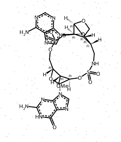 CO[C@H]1[C@H]2OS(=O)(=O)NC[C@H]3O[C@@H](n4cnc5c(N)ncnc54)[C@@H]4OC[C@H]3[C@H]4OP(=O)(O)OC[C@H]1O[C@H]2n1cnc2c(=O)[nH]c(N)nc21